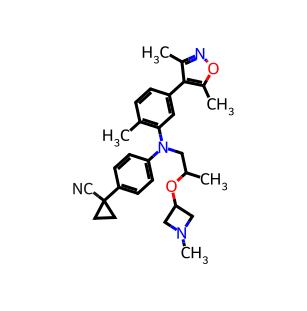 Cc1ccc(-c2c(C)noc2C)cc1N(CC(C)OC1CN(C)C1)c1ccc(C2(C#N)CC2)cc1